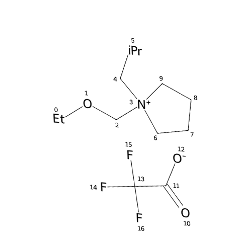 CCOC[N+]1(CC(C)C)CCCC1.O=C([O-])C(F)(F)F